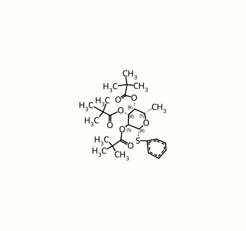 C[C@@H]1O[C@H](Sc2ccccc2)[C@@H](OC(=O)C(C)(C)C)[C@H](OC(=O)C(C)(C)C)[C@@H]1OC(=O)C(C)(C)C